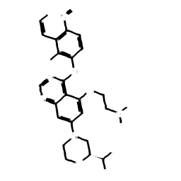 C=Nc1ccc(Nc2ncnc3cc(N4CCO[C@H](C(F)F)C4)cc(O[C@H](C)CN(C)C)c23)c(F)c1/C=C\C